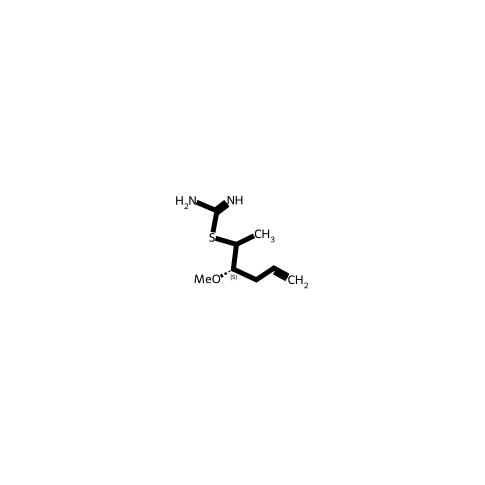 C=CC[C@H](OC)C(C)SC(=N)N